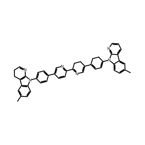 Cc1ccc2c(c1)c1c(n2-c2ccc(-c3ccc(C4=NC=C(C5=CC=C(n6c7ccc(C)cc7c7cccnc76)CC5)CC4)nc3)cc2)N=CCC1